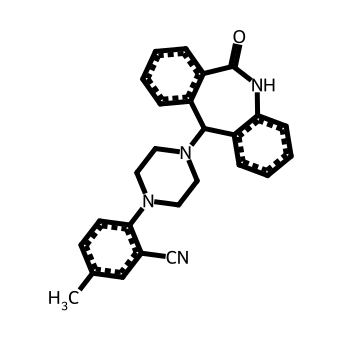 Cc1ccc(N2CCN(C3c4ccccc4NC(=O)c4ccccc43)CC2)c(C#N)c1